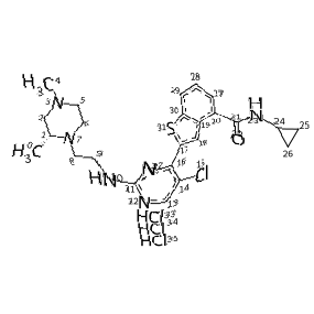 C[C@@H]1CN(C)CCN1CCNc1ncc(Cl)c(-c2cc3c(C(=O)NC4CC4)cccc3s2)n1.Cl.Cl.Cl